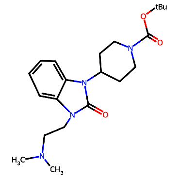 CN(C)CCn1c(=O)n(C2CCN(C(=O)OC(C)(C)C)CC2)c2ccccc21